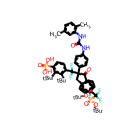 Cc1ccc(C)c(NC(=O)Nc2ccc(C(Cc3ccc(C(F)(F)P(=O)(OC(C)(C)C)OC(C)(C)C)cc3)(C(=O)c3ccc(F)cc3)C(F)(F)c3ccc(P(=O)(O)O)c(C(C)(C)C)c3C(C)(C)C)cc2)c1